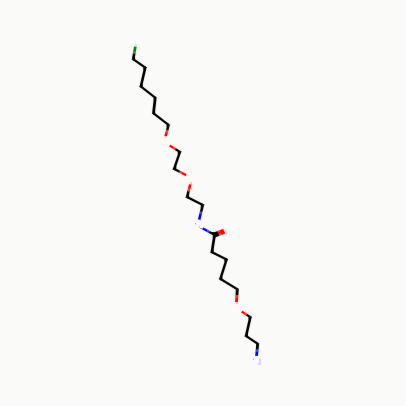 NCCCOCCCCC(=O)NCCOCCOCCCCCCCl